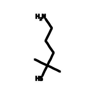 CC(C)(S)CCCN